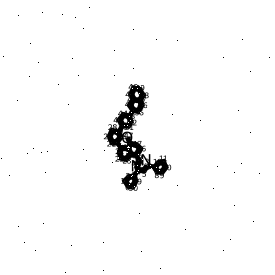 c1ccc(-c2cc(-c3ccccc3)nc(-c3ccc4c5c(cccc35)-c3cccc(-c5ccc(-c6ccc7ccccc7c6)cc5)c3O4)n2)cc1